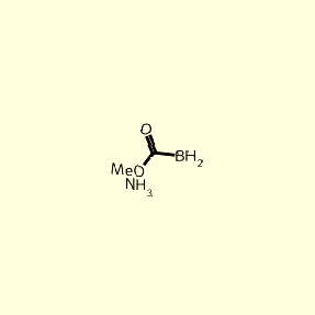 BC(=O)OC.N